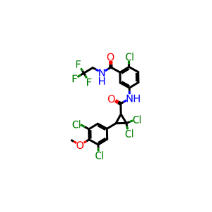 COc1c(Cl)cc(C2C(C(=O)Nc3ccc(Cl)c(C(=O)NCC(F)(F)F)c3)C2(Cl)Cl)cc1Cl